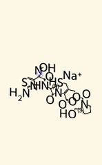 Nc1nc(/C(=N/O)C(=O)NC2C(=O)N3C(C(=O)[O-])=C(COC(=O)N4CCC[C@H]4CO)CS[C@H]23)cs1.[Na+]